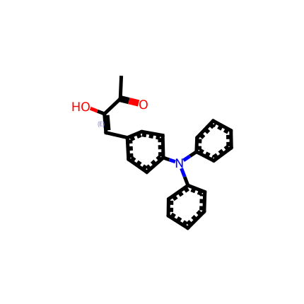 CC(=O)/C(O)=C\c1ccc(N(c2ccccc2)c2ccccc2)cc1